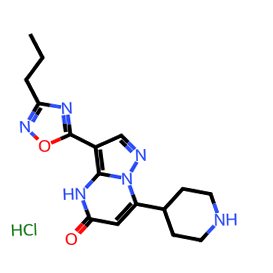 CCCc1noc(-c2cnn3c(C4CCNCC4)cc(=O)[nH]c23)n1.Cl